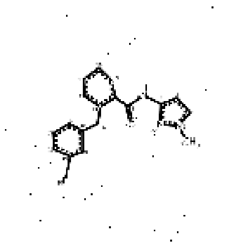 Cn1ccc(NC(=O)c2ncccc2Cc2cccc(F)c2)n1